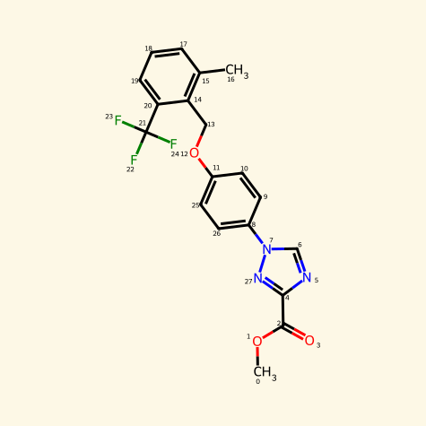 COC(=O)c1ncn(-c2ccc(OCc3c(C)cccc3C(F)(F)F)cc2)n1